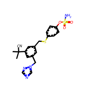 CC(C)(C#N)c1cc(CSc2ccc(OS(N)(=O)=O)cc2)cc(Cn2cncn2)c1